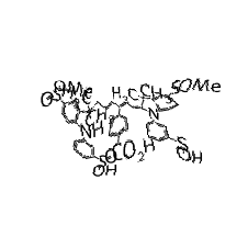 COSc1ccc2c(c1)C(C)(C)\C(=C/C=C(/C=C/CC(C)(C)c1cc(S(=O)OC)ccc1Nc1cccc(S(=O)O)c1)c1ccc(C(=O)O)cc1)N2c1cccc(SO)c1